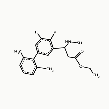 CCOC(=O)CC(NS)c1cc(-c2c(C)cccc2C)cc(F)c1F